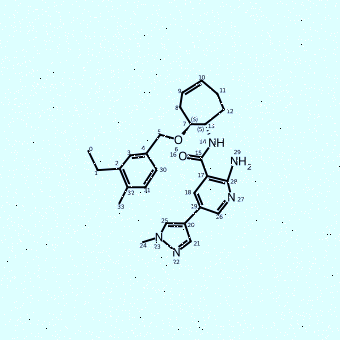 CCc1cc(CO[C@H]2CC=CCC[C@@H]2NC(=O)c2cc(-c3cnn(C)c3)cnc2N)ccc1C